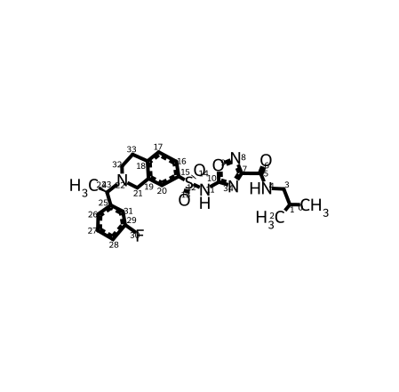 CC(C)CNC(=O)c1noc(NS(=O)(=O)c2ccc3c(c2)CN([C@H](C)c2cccc(F)c2)CC3)n1